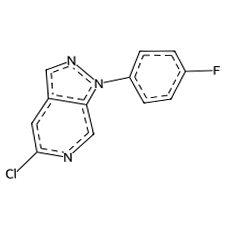 Fc1ccc(-n2ncc3cc(Cl)ncc32)cc1